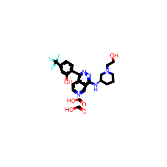 O=CO.O=CO.OCCN1CCC[C@@H](Nc2nnc(-c3ccc(C(F)(F)F)cc3O)c3ccncc23)C1